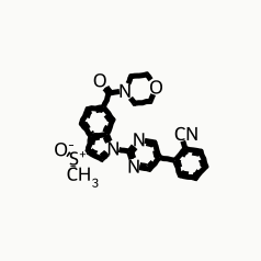 C[S+]([O-])c1cn(-c2ncc(-c3ccccc3C#N)cn2)c2cc(C(=O)N3CCOCC3)ccc12